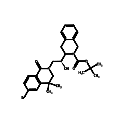 CC(C)(C)OC(=O)N1Cc2ccccc2CC1[C@H](O)CN1CC(C)(C)c2cc(Br)ccc2C1=O